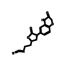 [N-]=[N+]=NCCC1CN(c2ccc3c(c2)NC(=O)CO3)C(=O)O1